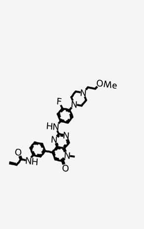 C=CC(=O)Nc1cccc(-c2cc(=O)n(C)c3cnc(Nc4ccc(N5CCN(CCOC)CC5)c(F)c4)nc23)c1